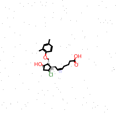 Cc1ccc(OC[C@@H]2[C@@H](C/C=C\CCCC(=O)O)[C@@H](Cl)C[C@H]2O)c(C)c1